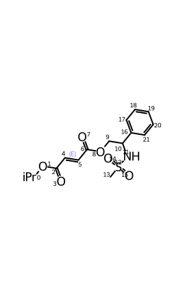 CC(C)OC(=O)/C=C/C(=O)OCC(NS(C)(=O)=O)c1ccccc1